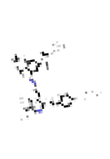 CCOC(C=C/C=C/c1cc(N(CC)C(=O)OC(C)(C)C)cc2c1C(=O)OC(C)(C)O2)[C@H](/C=C\[C@@H](C)[C@H](C)O)OCc1ccc(OC)cc1